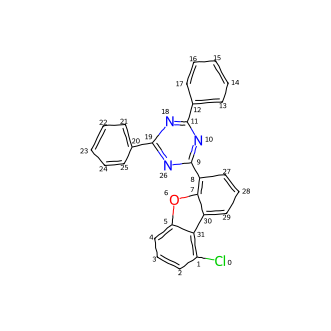 Clc1cccc2oc3c(-c4nc(-c5ccccc5)nc(-c5ccccc5)n4)cccc3c12